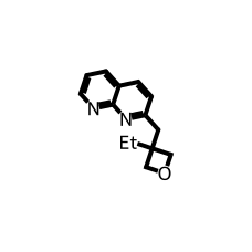 CCC1(Cc2ccc3cccnc3n2)COC1